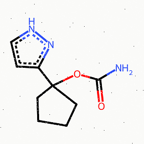 NC(=O)OC1(c2cc[nH]n2)CCCC1